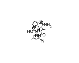 CNC(=O)C1=C(C)C(C(N)=O)N(c2ncccc2Cl)N1N(C(=O)O)c1cc(C)cc(C#N)c1